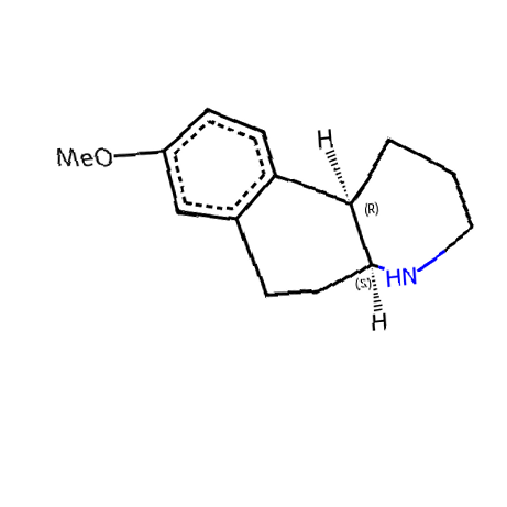 COc1ccc2c(c1)CC[C@@H]1NCCC[C@H]21